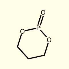 O=[P]1OCCCO1